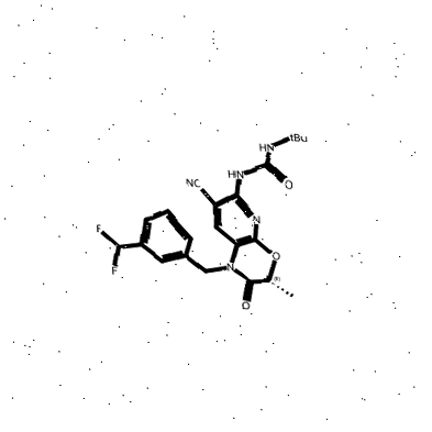 C[C@H]1Oc2nc(NC(=O)NC(C)(C)C)c(C#N)cc2N(Cc2cccc(C(F)F)c2)C1=O